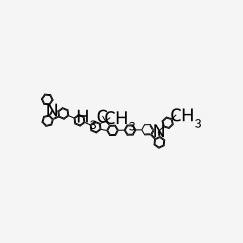 Cc1ccc(-n2c3c(c4ccccc42)=CC(c2ccc(-c4ccc5c(c4)C(C)(C)c4cc(-c6ccc(-c7ccc8c(c7)c7ccccc7n8-c7ccccc7)cc6)ccc4-5)cc2)CC=3)cc1